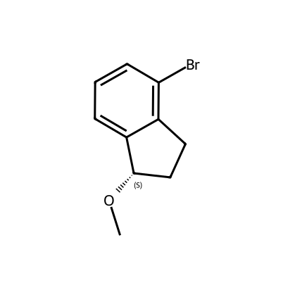 CO[C@H]1CCc2c(Br)cccc21